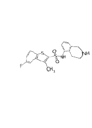 Cc1c(S(=O)(=O)Nc2cccc3c2CCNC3)sc2ccc(F)cc12